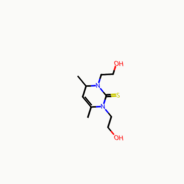 CC1=CC(C)N(CCO)C(=S)N1CCO